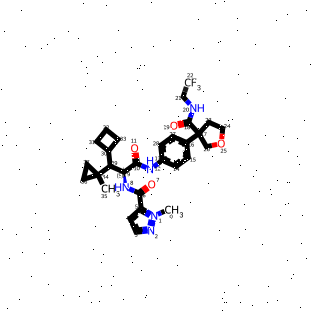 Cn1nccc1C(=O)N[C@H](C(=O)Nc1ccc(C2(C(=O)NCC(F)(F)F)CCOC2)cc1)C(C1CCC1)C1(C)CC1